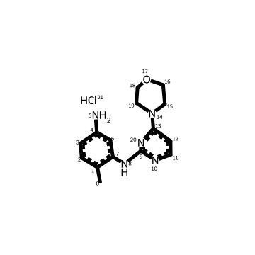 Cc1ccc(N)cc1Nc1nccc(N2CCOCC2)n1.Cl